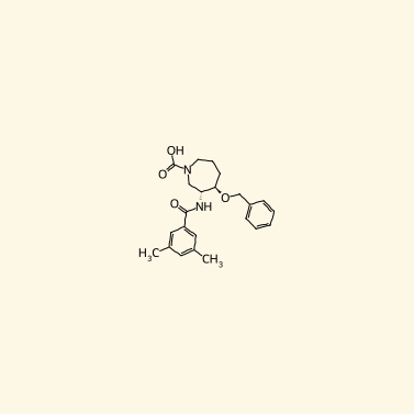 Cc1cc(C)cc(C(=O)N[C@@H]2CN(C(=O)O)CCC[C@H]2OCc2ccccc2)c1